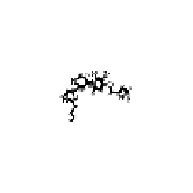 CCCCc1nccc(-c2cc(-n3c(C)cc(OCc4ccn(C)n4)c(Br)c3=O)ccn2)n1